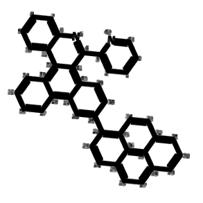 c1ccc(-c2nc3ccccc3c3c4ccccc4c4cc(-c5ccc6ccc7cccc8ccc5c6c78)ccc4c23)nc1